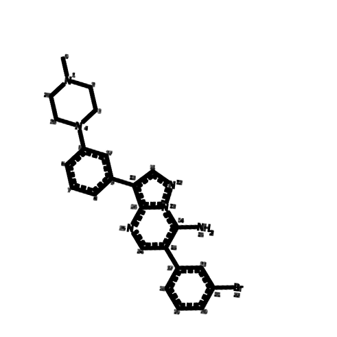 CN1CCN(c2cccc(-c3cnn4c(N)c(-c5cccc(Br)c5)cnc34)c2)CC1